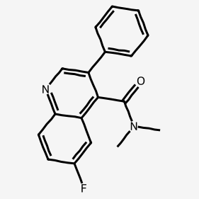 CN(C)C(=O)c1c(-c2ccccc2)cnc2ccc(F)cc12